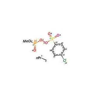 CCCC.CO[PH](=O)OOS(=O)(=O)c1ccc(Cl)cc1